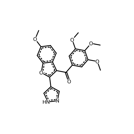 COc1ccc2c(C(=O)c3cc(OC)c(OC)c(OC)c3)c(-c3cn[nH]c3)oc2c1